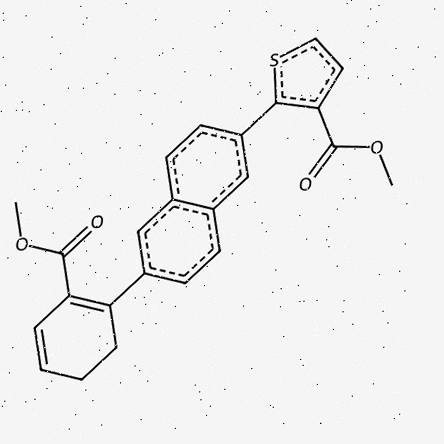 COC(=O)C1=C(c2ccc3cc(-c4sccc4C(=O)OC)ccc3c2)CCC=C1